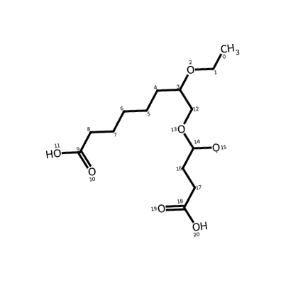 CCOC(CCCCCC(=O)O)COC([O])CCC(=O)O